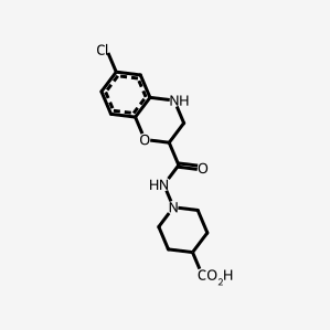 O=C(O)C1CCN(NC(=O)C2CNc3cc(Cl)ccc3O2)CC1